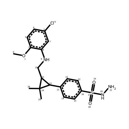 COc1ccc(Cl)cc1NCC1C(c2ccc(S(=O)(=O)NN)cc2)C1(C)C